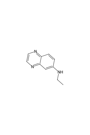 CCNc1ccc2nccnc2c1